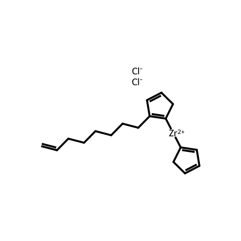 C=CCCCCCCC1=[C]([Zr+2][C]2=CC=CC2)CC=C1.[Cl-].[Cl-]